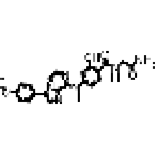 COc1ccc(-c2cnc3c(Nc4ccc(C(=O)NCC(N)=O)c(C)c4)nccn23)cc1